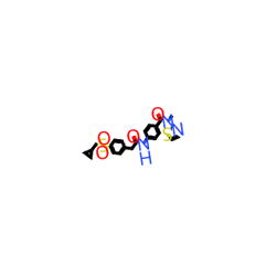 CN(C(=O)c1ccc(NC(=O)Cc2ccc(S(=O)(=O)CC3CC3)cc2)cc1)c1nccs1